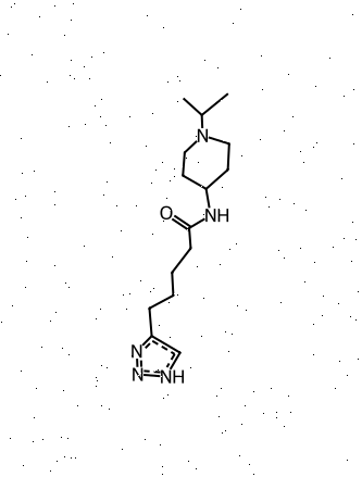 CC(C)N1CCC(NC(=O)CCCCc2c[nH]nn2)CC1